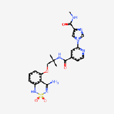 CNC(=O)c1cn(-c2cc(C(=O)NC(C)(C)COc3cccc4c3C(N)=NS(=O)(=O)N4)ccn2)cn1